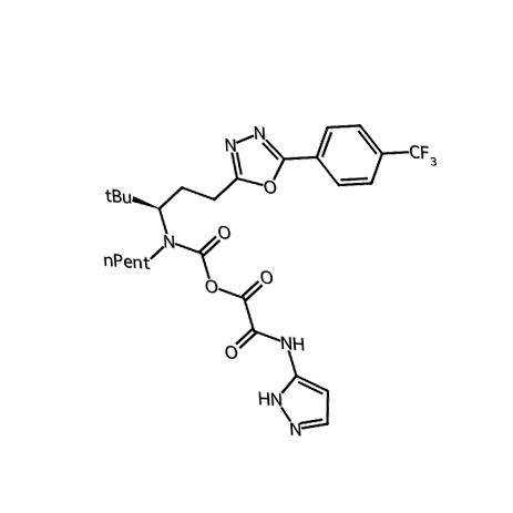 CCCCCN(C(=O)OC(=O)C(=O)Nc1ccn[nH]1)[C@H](CCc1nnc(-c2ccc(C(F)(F)F)cc2)o1)C(C)(C)C